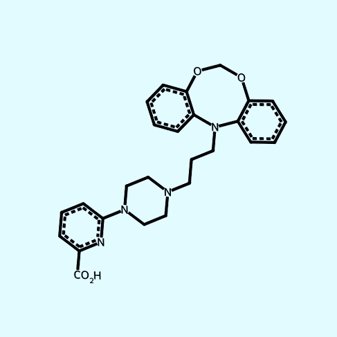 O=C(O)c1cccc(N2CCN(CCCN3c4ccccc4OCOc4ccccc43)CC2)n1